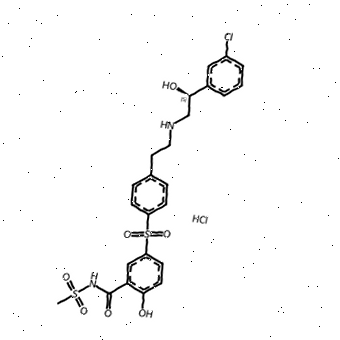 CS(=O)(=O)NC(=O)c1cc(S(=O)(=O)c2ccc(CCNC[C@@H](O)c3cccc(Cl)c3)cc2)ccc1O.Cl